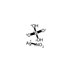 O=S(=O)(O)O.O=[N+]([O-])[Ag]